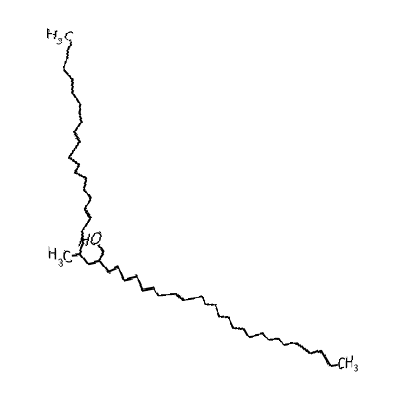 CCCCCCCCCCCCCCCCCCCCCCCCCCC(CO)CC(C)CCCCCCCCCCCCCCCCCCCCCC